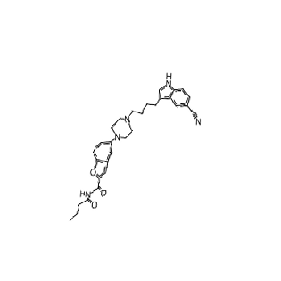 CCCC(=O)NC(=O)c1cc2cc(N3CCN(CCCCc4c[nH]c5ccc(C#N)cc45)CC3)ccc2o1